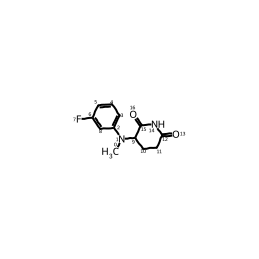 CN(c1cccc(F)c1)C1CCC(=O)NC1=O